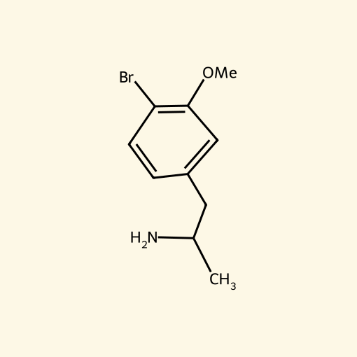 COc1cc(CC(C)N)ccc1Br